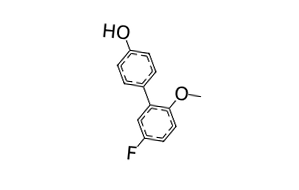 COc1ccc(F)cc1-c1ccc(O)cc1